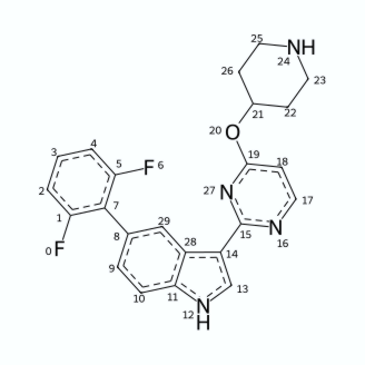 Fc1cccc(F)c1-c1ccc2[nH]cc(-c3nccc(OC4CCNCC4)n3)c2c1